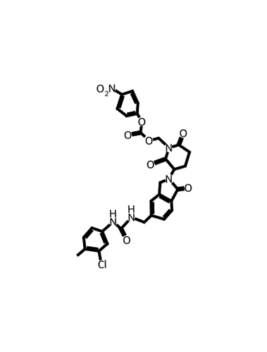 Cc1ccc(NC(=O)NCc2ccc3c(c2)CN(C2CCC(=O)N(COC(=O)Oc4ccc([N+](=O)[O-])cc4)C2=O)C3=O)cc1Cl